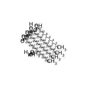 CCCCCCCCCCCCCC(=O)O.CCCCCCCCCCCCCCCC(=O)O.CCCCCCCCCCCCCCCC(=O)O.CCCCCCCCCCCCCCCC(=O)O.O.[AlH3].[KH]